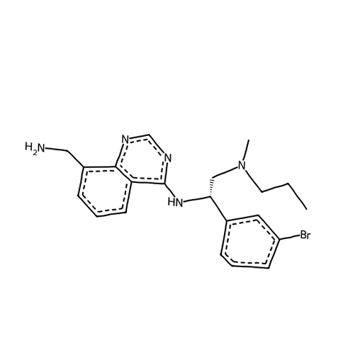 CCCN(C)C[C@@H](Nc1ncnc2c(CN)cccc12)c1cccc(Br)c1